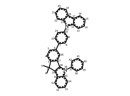 CC1(C)c2ccc(-c3ccc(-n4c5ccccc5c5ccccc54)cc3)cc2-c2c1c1ccccc1n2-c1ccccc1